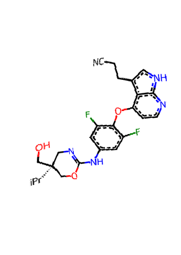 CC(C)[C@]1(CO)CN=C(Nc2cc(F)c(Oc3ccnc4[nH]cc(CCC#N)c34)c(F)c2)OC1